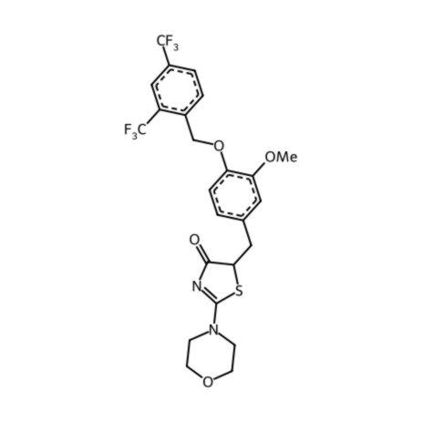 COc1cc(CC2SC(N3CCOCC3)=NC2=O)ccc1OCc1ccc(C(F)(F)F)cc1C(F)(F)F